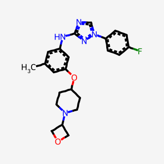 Cc1cc(Nc2ncn(-c3ccc(F)cc3)n2)cc(OC2CCN(C3COC3)CC2)c1